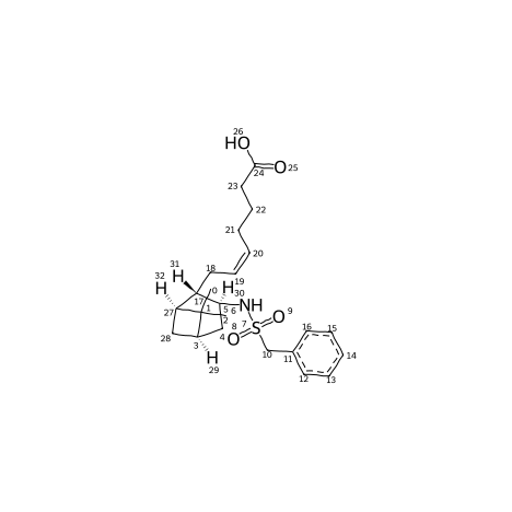 CC1(C)[C@H]2C[C@H](NS(=O)(=O)Cc3ccccc3)[C@@H](C/C=C\CCCC(=O)O)[C@@H]1C2